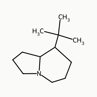 CC(C)(C)C1CCCN2CCCC12